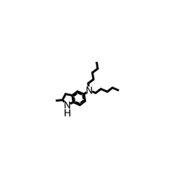 CCCCCN(CCCCC)c1ccc2c(c1)CC(C)N2